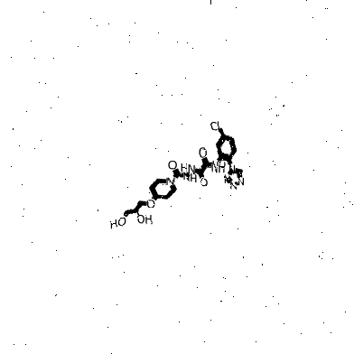 O=C(NNC(=O)N1CCC(OC[C@H](O)CO)CC1)C(=O)Nc1cc(Cl)ccc1-n1cnnn1